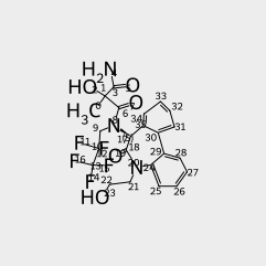 CC(O)(C(N)=O)C(=O)N(CC(F)(F)C(F)(F)F)[C@@H]1C(=O)N(CCO)c2ccccc2-c2ccccc21